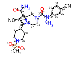 CS(=O)(=O)N1CCC(c2c(C#N)c(C(N)=O)c3n2CCN(C(=O)N(N)c2ccc(C#N)cc2)C3)CC1